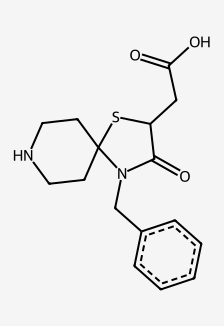 O=C(O)CC1SC2(CCNCC2)N(Cc2ccccc2)C1=O